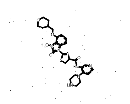 Cn1c(=O)n(C2=NC(C(=O)Nc3cnccc3N3CCNCC3)CS2)c2cccc(OCC3CCOCC3)c21